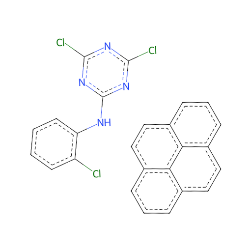 Clc1nc(Cl)nc(Nc2ccccc2Cl)n1.c1cc2ccc3cccc4ccc(c1)c2c34